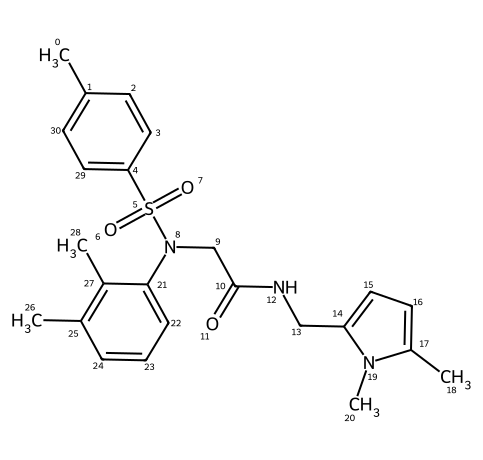 Cc1ccc(S(=O)(=O)N(CC(=O)NCc2ccc(C)n2C)c2cccc(C)c2C)cc1